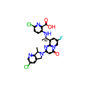 CC1c2ncc(Cl)cc2CN1c1cc(=O)n2cc(F)cc([C@@H](C)Nc3ccc(Cl)nc3C(=O)O)c2n1